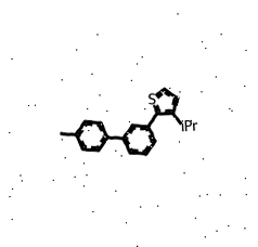 Cc1ccc(-c2cccc(-c3sccc3C(C)C)c2)cc1